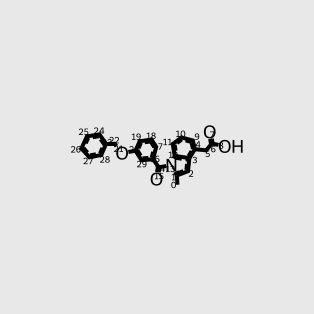 Cc1cc2c(CC(=O)O)cccc2n1C(=O)c1cccc(OCc2ccccc2)c1